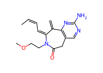 C=C1/C(=C\C=C/C)N(CCOC)C(=O)Cc2cnc(N)nc21